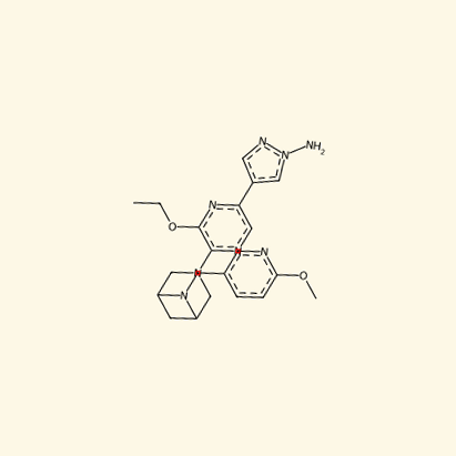 CCOc1nc(-c2cnn(N)c2)cnc1N1CC2CC(C1)N2Cc1ccc(OC)nc1